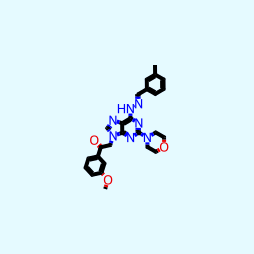 COc1cccc(C(=O)Cn2cnc3c(NN=Cc4cccc(C)c4)nc(N4CCOCC4)nc32)c1